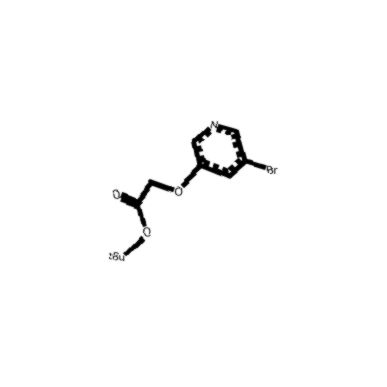 CC(C)(C)OC(=O)COc1cncc(Br)c1